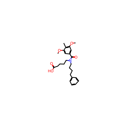 COc1cc(C(=O)N(CCCCC(=O)O)CCCCc2ccccc2)cc(OC)c1C